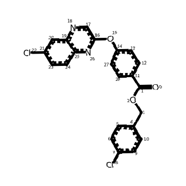 O=C(OCc1ccc(Cl)cc1)c1ccc(Oc2cnc3cc(Cl)ccc3n2)cc1